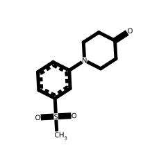 CS(=O)(=O)c1cccc(N2CCC(=O)CC2)c1